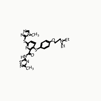 CCN(CC)CCOc1ccc(Sc2ccc(Sc3nncn3C)nc2C(=O)Nc2nc(C)ns2)cc1